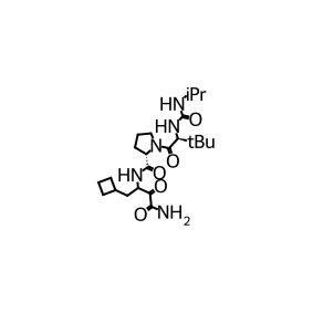 CC(C)NC(=O)N[C@H](C(=O)N1CCC[C@H]1C(=O)NC(CC1CCC1)C(=O)C(N)=O)C(C)(C)C